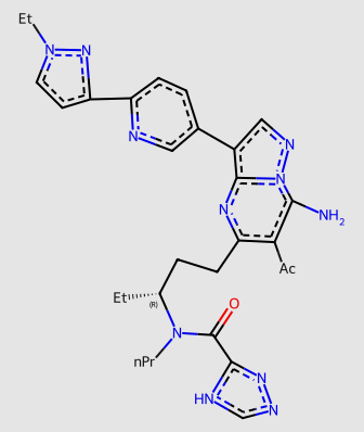 CCCN(C(=O)c1nnc[nH]1)[C@H](CC)CCc1nc2c(-c3ccc(-c4ccn(CC)n4)nc3)cnn2c(N)c1C(C)=O